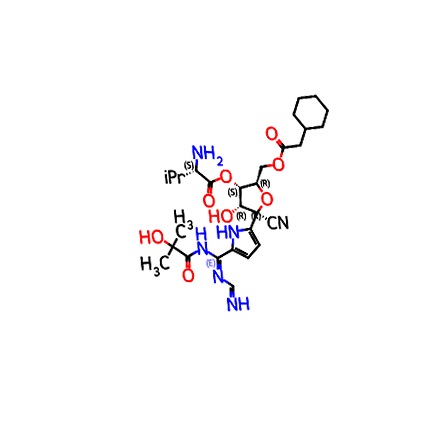 CC(C)[C@H](N)C(=O)O[C@H]1[C@@H](O)[C@](C#N)(c2ccc(/C(=N\C=N)NC(=O)C(C)(C)O)[nH]2)O[C@@H]1COC(=O)CC1CCCCC1